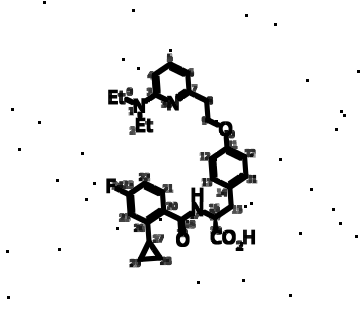 CCN(CC)c1cccc(CCOc2ccc(C[C@H](NC(=O)c3ccc(F)cc3C3CC3)C(=O)O)cc2)n1